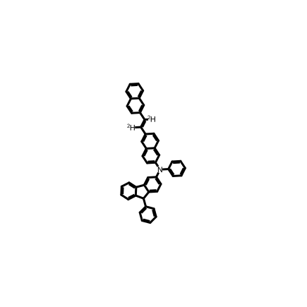 [2H]/C(=C(/[2H])c1ccc2cc(N(c3ccccc3)c3ccc4c(c3)-c3ccccc3C4c3ccccc3)ccc2c1)c1ccc2ccccc2c1